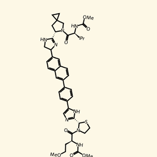 COCC[C@H](NC(=O)OC)C(=O)N1CCS[C@H]1c1ncc(-c2ccc(-c3ccc4cc(C5CNC([C@@H]6CC7(CC7)CN6C(=O)[C@@H](NC(=O)OC)C(C)C)=N5)ccc4c3)cc2)[nH]1